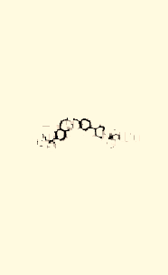 CC(C)(C)OC(=O)N1CCC(c2ccc(CN3CCc4cc(C(=O)NO)ccc4C3)cc2)CC1